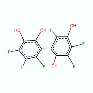 Oc1c(O)c(-c2c(O)c(F)c(F)c(O)c2F)c(F)c(F)c1F